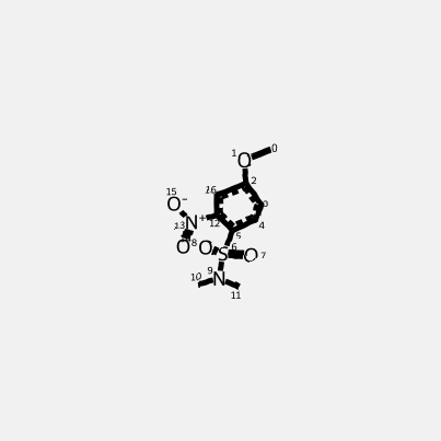 COc1ccc(S(=O)(=O)N(C)C)c([N+](=O)[O-])c1